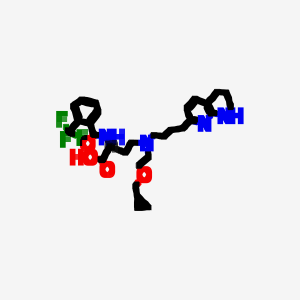 O=C(N[C@@H](CCN(CCCCc1ccc2c(n1)NCCC2)CCOCC1CC1)C(=O)O)c1ccccc1C(F)(F)F